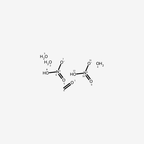 C=O.O.O.O.O=[N+]([O-])O.O=[N+]([O-])O